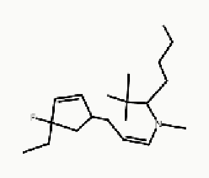 CCCCC(N(C)/C=C\CC1C=CC(F)(CC)C1)C(C)(C)C